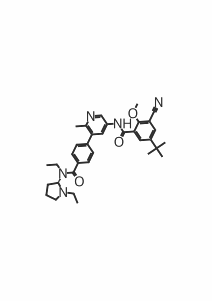 CCN1CCC[C@H]1N(CC)C(=O)c1ccc(-c2cc(NC(=O)c3cc(C(C)(C)C)cc(C#N)c3OC)cnc2C)cc1